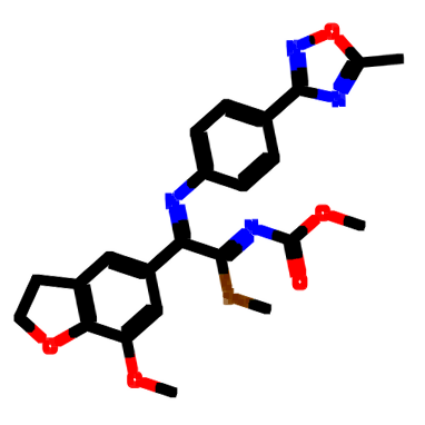 COC(=O)N=C(SC)C(=Nc1ccc(-c2noc(C)n2)cc1)c1cc2c(c(OC)c1)OCC2